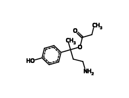 CCC(=O)OC(C)(CCN)c1ccc(O)cc1